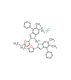 CCc1ccc(C2=Cc3c(cc(C)c(C)c3-c3ccccc3)[CH]2[Zr+2][CH]2C(c3ccc(C)o3)=Cc3c2cc(C)c(C)c3-c2ccccc2)o1.[Cl-].[Cl-]